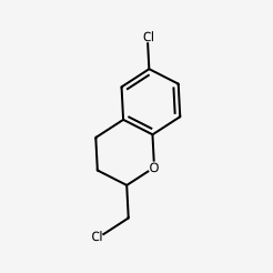 ClCC1CCc2cc(Cl)ccc2O1